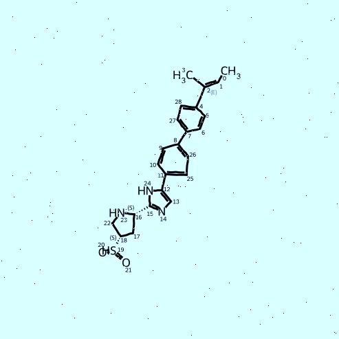 C/C=C(\C)c1ccc(-c2ccc(-c3cnc([C@@H]4C[C@H]([SH](=O)=O)CN4)[nH]3)cc2)cc1